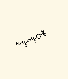 COC(=O)C1CC(OC(=O)c2ccc([N+](=O)[O-])cc2)C1